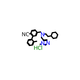 Cc1ccccc1-c1cc(CN(CCC2CCCCC2)Cc2cncn2C)ccc1C#N.Cl